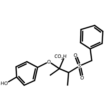 CC(C(C)(Oc1ccc(O)cc1)C(=O)O)S(=O)(=O)Cc1ccccc1